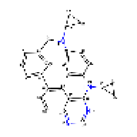 c1ccc(N(Cc2cccc(-c3ccc4ncnc(NC5CC5)c4c3)c2)C2CC2)cc1